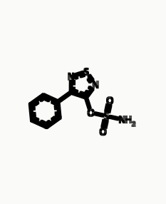 NS(=O)(=O)Oc1nsnc1-c1ccccc1